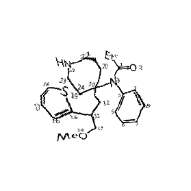 CCC(=O)N(c1ccccc1)C1(CC(COC)c2cccs2)CCNCC1